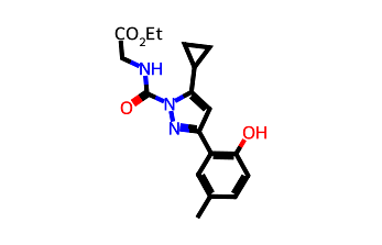 CCOC(=O)CNC(=O)n1nc(-c2cc(C)ccc2O)cc1C1CC1